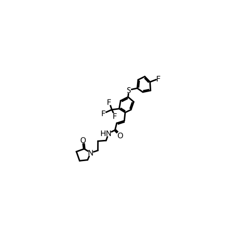 O=C(/C=C/c1ccc(Sc2ccc(F)cc2)cc1C(F)(F)F)NCCCN1CCCC1=O